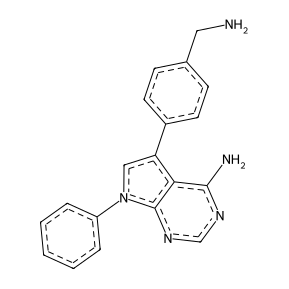 NCc1ccc(-c2cn(-c3ccccc3)c3ncnc(N)c23)cc1